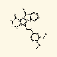 COc1ccc(CCn2c3c(c4c2-c2ccccc2C4=O)C(=O)CCC3)cc1OC